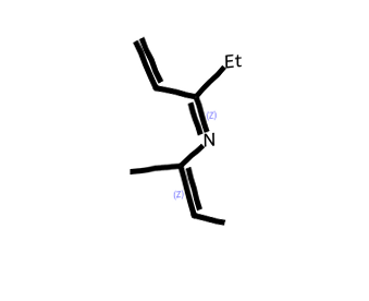 C=C/C(CC)=N\C(C)=C/C